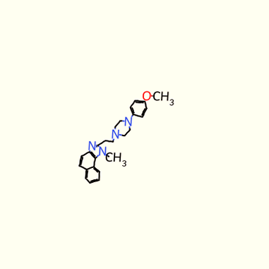 COc1ccc(N2CCN(CCc3nc4ccc5ccccc5c4n3C)CC2)cc1